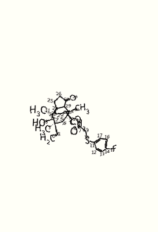 C=C[C@]1(C)C[C@@H](OC(=O)CSc2ccc(F)cc2)[C@]2(C)C(C)CCC3(CCC(=O)C32)[C@@H](C)[C@@H]1O